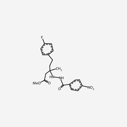 COC(=O)CC(C)(CCc1ccc(F)cc1)NNC(=O)c1ccc([N+](=O)[O-])cc1